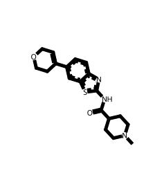 CN1CCC(C(=O)Nc2nc3ccc(C4=CCOCC4)cc3s2)CC1